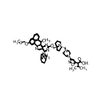 COCOc1cc2c3c(cccc3c1)C(C)c1c-2ncc2c(N3CC4CCC(C3)N4C)nc(OC[C@@]34CCCN3[C@H](CN3CCN(c5cc(C(C(=O)O)C(C)C)on5)CC3)CC4)nc12